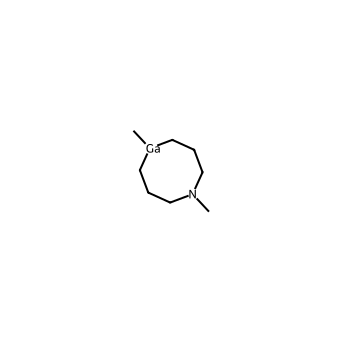 CN1CC[CH2][Ga]([CH3])[CH2]CC1